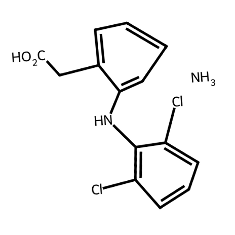 N.O=C(O)Cc1ccccc1Nc1c(Cl)cccc1Cl